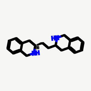 c1ccc2c(c1)CNC(CC[C@H]1Cc3ccccc3CN1)C2